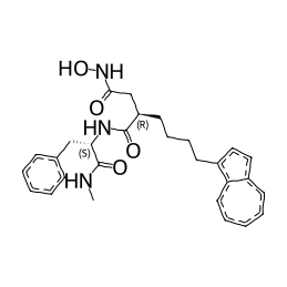 CNC(=O)[C@H](Cc1ccccc1)NC(=O)[C@H](CCCCc1ccc2cccccc1-2)CC(=O)NO